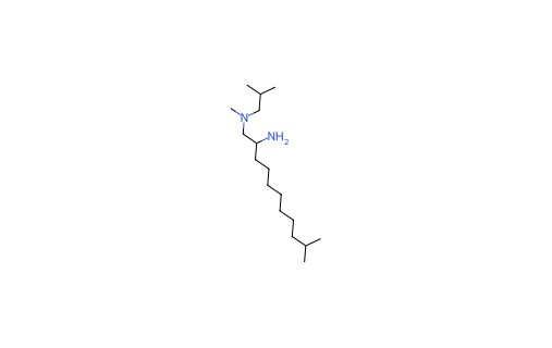 CC(C)CCCCCCCC(N)CN(C)CC(C)C